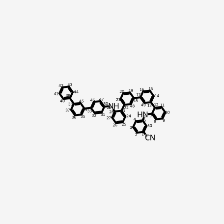 N#Cc1cccc(Nc2ccccc2-c2cccc(-c3cccc(-c4ccccc4Nc4ccc(-c5cccc(-c6ccccc6)c5)cc4)c3)c2)c1